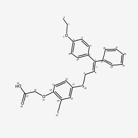 CCOc1ccc(/C(=C\CSc2ccc(OCC(=O)O)c(I)c2)c2ccccc2)cc1